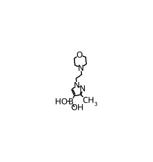 Cc1nn(CCN2CCOCC2)cc1B(O)O